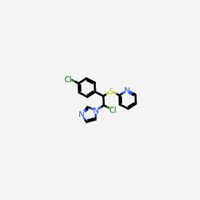 Clc1ccc(C(Sc2ccccn2)C(Cl)n2ccnc2)cc1